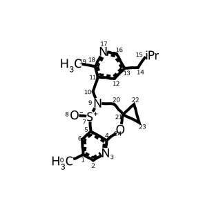 Cc1cnc2c(c1)[S+]([O-])N(Cc1cc(CC(C)C)cnc1C)CC1(CC1)O2